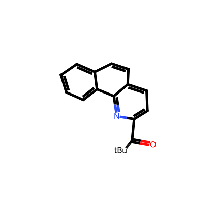 CC(C)(C)C(=O)c1ccc2ccc3ccccc3c2n1